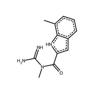 Cc1cccc2cc(C(=O)N(C)C(=N)N)[nH]c12